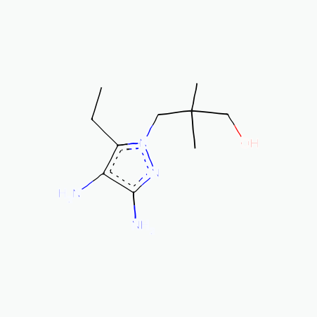 CCc1c(N)c(N)nn1CC(C)(C)CO